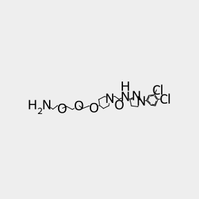 NCCOCCOCCOC1CCN(CC(=O)NC2=NN(c3ccc(Cl)c(Cl)c3)CC2)CC1